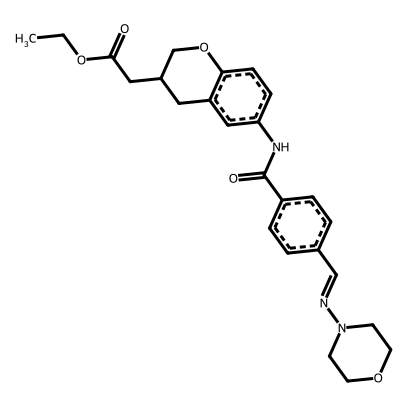 CCOC(=O)CC1COc2ccc(NC(=O)c3ccc(C=NN4CCOCC4)cc3)cc2C1